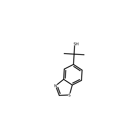 CC(C)(S)c1ccc2scnc2c1